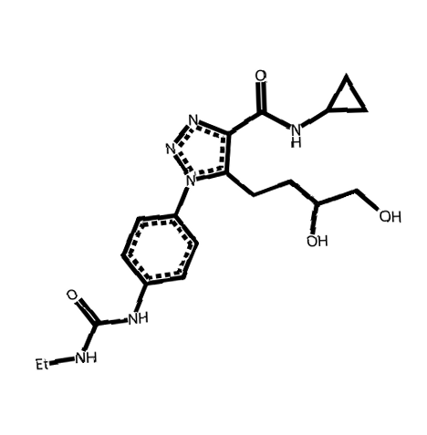 CCNC(=O)Nc1ccc(-n2nnc(C(=O)NC3CC3)c2CCC(O)CO)cc1